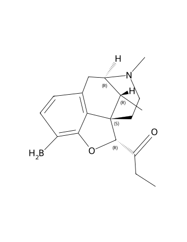 Bc1ccc2c3c1O[C@@H](C(=O)CC)[C@]31CCN(C)[C@H](C2)[C@@H]1C